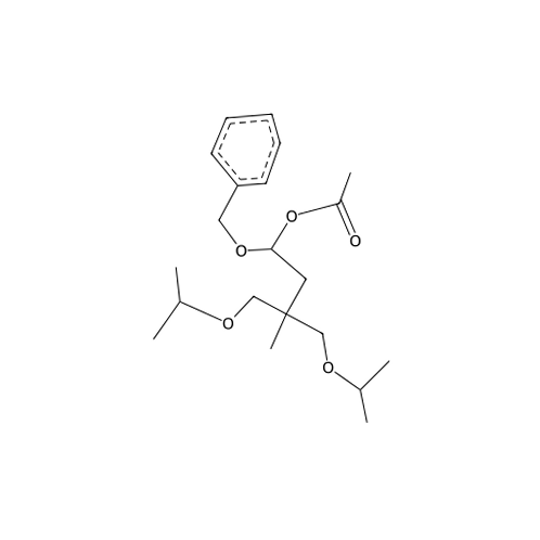 CC(=O)OC(CC(C)(COC(C)C)COC(C)C)OCc1ccccc1